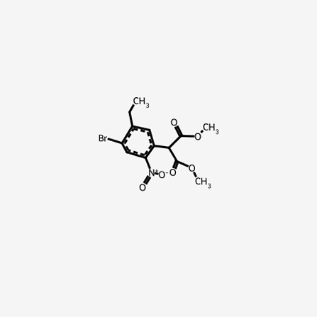 CCc1cc(C(C(=O)OC)C(=O)OC)c([N+](=O)[O-])cc1Br